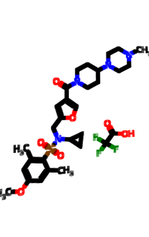 COc1cc(C)c(S(=O)(=O)N(Cc2cc(C(=O)N3CCC(N4CCN(C)CC4)CC3)co2)C2CC2)c(C)c1.O=C(O)C(F)(F)F